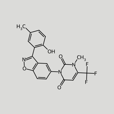 Cc1ccc(O)c(-c2noc3ccc(-n4c(=O)cc(C(F)(F)F)n(C)c4=O)cc23)c1